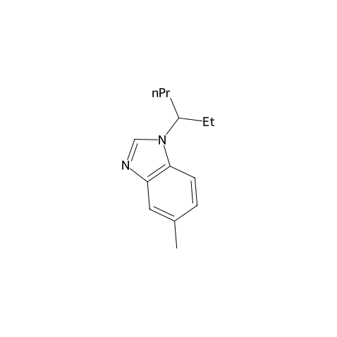 CCCC(CC)n1cnc2cc(C)ccc21